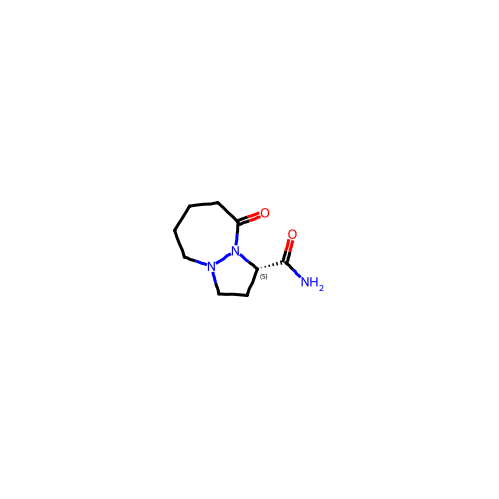 NC(=O)[C@@H]1CCN2CCCCC(=O)N12